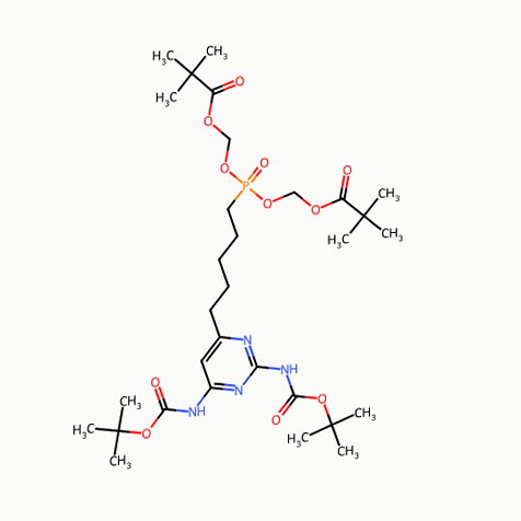 CC(C)(C)OC(=O)Nc1cc(CCCCCP(=O)(OCOC(=O)C(C)(C)C)OCOC(=O)C(C)(C)C)nc(NC(=O)OC(C)(C)C)n1